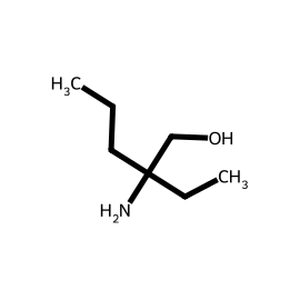 CCCC(N)(CC)CO